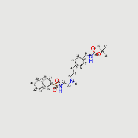 CN(CCCc1ccc(CNC(=O)OC(C)(C)C)cc1)CCNS(=O)(=O)c1ccc2ccccc2c1